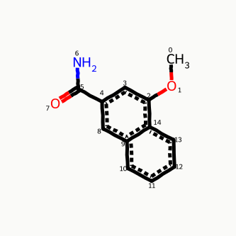 COc1cc(C(N)=O)cc2ccccc12